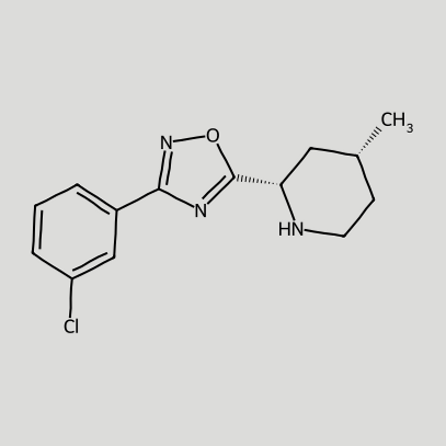 C[C@@H]1CCN[C@H](c2nc(-c3cccc(Cl)c3)no2)C1